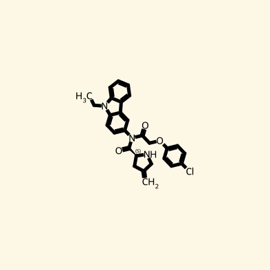 C=C1CN[C@H](C(=O)N(C(=O)COc2ccc(Cl)cc2)c2ccc3c(c2)c2ccccc2n3CC)C1